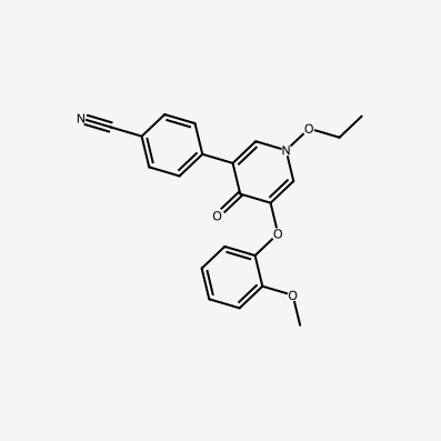 CCOn1cc(Oc2ccccc2OC)c(=O)c(-c2ccc(C#N)cc2)c1